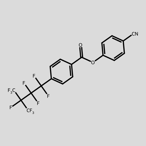 N#Cc1ccc(OC(=O)c2ccc(C(F)(F)C(F)(F)C(F)(C(F)(F)F)C(F)(F)F)cc2)cc1